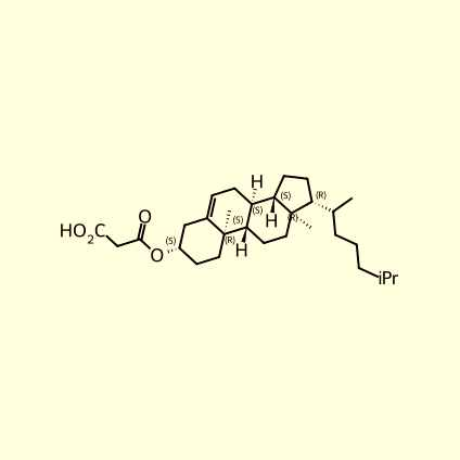 CC(C)CCCC(C)[C@H]1CC[C@H]2[C@@H]3CC=C4C[C@@H](OC(=O)CC(=O)O)CC[C@]4(C)[C@H]3CC[C@]12C